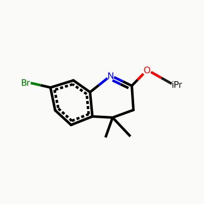 CC(C)OC1=Nc2cc(Br)ccc2C(C)(C)C1